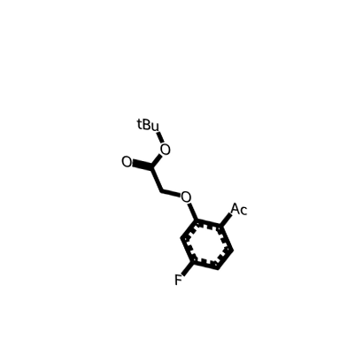 CC(=O)c1ccc(F)cc1OCC(=O)OC(C)(C)C